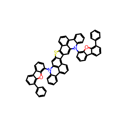 c1ccc(-c2cccc3c2oc2c(-n4c5ccccc5c5cccc6c7sc8cc9c%10c(cccc%10c8c7cc4c56)c4ccccc4n9-c4cccc5c4oc4c(-c6ccccc6)cccc45)cccc23)cc1